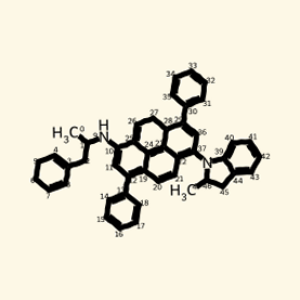 CC(CC1=CCCC=C1)Nc1cc(-c2ccccc2)c2ccc3c4c2c1=CCC4C(c1ccccc1)=CC=3N1c2ccccc2CC1C